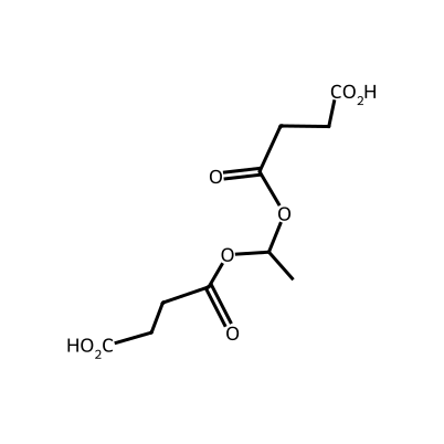 CC(OC(=O)CCC(=O)O)OC(=O)CCC(=O)O